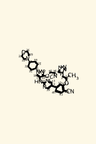 C[C@@H](Cn1cnnn1)Oc1cc(-c2cnc(Nc3cn([C@H]4CC[C@H](N5CCOCC5)CC4)nc3OCCC#N)nc2)ccc1C#N